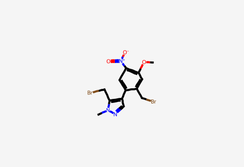 COc1cc(CBr)c(-c2cnn(C)c2CBr)cc1[N+](=O)[O-]